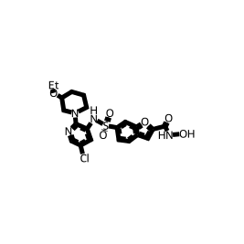 CCOC1CCCN(c2ncc(Cl)cc2NS(=O)(=O)c2ccc3cc(C(=O)NO)oc3c2)C1